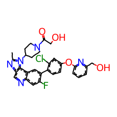 Cc1nc2cnc3cc(F)c(-c4ccc(Oc5cccc(CO)n5)cc4Cl)cc3c2n1C1CCN(C(=O)CO)CC1